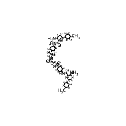 Cc1ccc(-c2cnc(N)c(C(=O)Nc3ccc(S(=O)(=O)CO[PH](=O)OCS(=O)(=O)c4ccc(NC(=O)c5nc(-c6ccc(C)cc6)cnc5N)cc4)cc3)n2)cc1